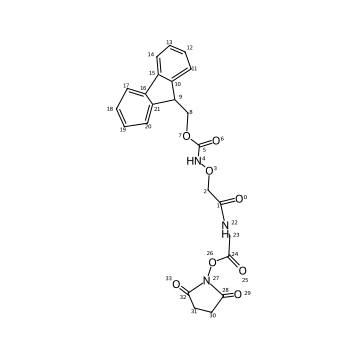 O=C(CONC(=O)OCC1c2ccccc2-c2ccccc21)NCC(=O)ON1C(=O)CCC1=O